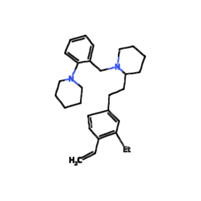 C=Cc1ccc(CCC2CCCCN2Cc2ccccc2N2CCCCC2)cc1CC